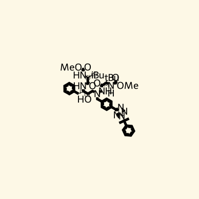 CC[C@H](C)[C@H](NC(=O)OC)C(=O)N[C@@H](Cc1ccccc1)[C@@H](O)CN(Cc1ccc(-c2nnn(C(C)(C)c3ccccc3)n2)cc1)NC(=O)[C@@H](NC(=O)OC)C(C)(C)C